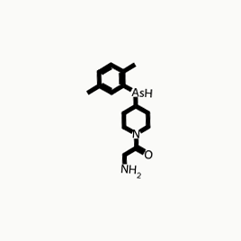 Cc1ccc(C)c([AsH]C2CCN(C(=O)CN)CC2)c1